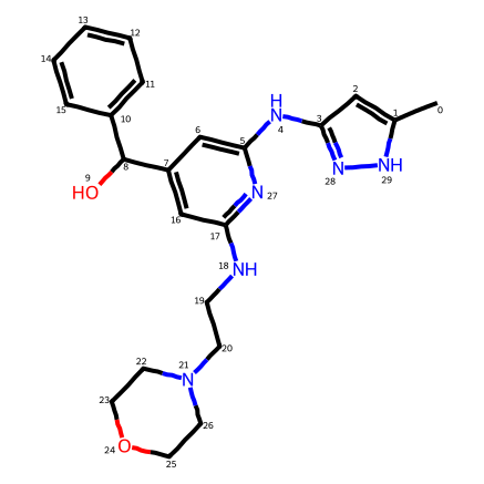 Cc1cc(Nc2cc(C(O)c3ccccc3)cc(NCCN3CCOCC3)n2)n[nH]1